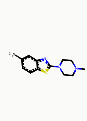 CN1CCN(c2nc3cc([N+](=O)[O-])ccc3s2)CC1